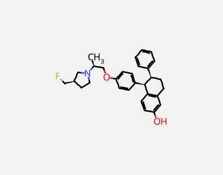 C[C@@H](COc1ccc([C@@H]2c3ccc(O)cc3CC[C@@H]2c2ccccc2)cc1)N1CC[C@@H](CF)C1